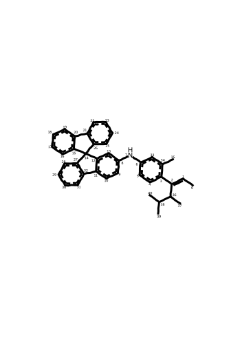 C/C=C(/c1ccc(Nc2ccc3c(c2)C2(c4ccccc4-c4ccccc42)c2ccccc2-3)cc1C)C(C)C(C)C